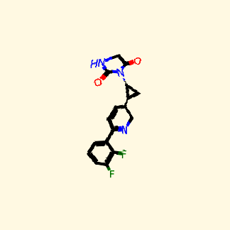 O=C1CNC(=O)N1[C@@H]1C[C@H]1C1C=CC(c2cccc(F)c2F)=NC1